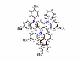 CC(C)(C)c1ccc(N(c2ccc(C(C)(C)C)cc2)c2cc3c4c(c2)N2c5c(cc(C(C)(C)C)cc5C5(C)CCCCC25C)B4c2ccc4c(c2N3c2c(-c3ccccc3)cc(C(C)(C)C)cc2-c2ccccc2)C(C)(C)c2cc(C(C)(C)C)ccc2-4)cc1